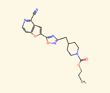 CCCOC(=O)N1CCC(Cc2noc(-c3cc4c(C#N)nccc4o3)n2)CC1